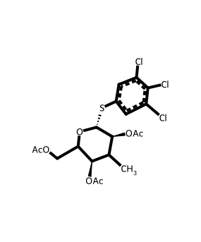 CC(=O)OCC1O[C@H](Sc2cc(Cl)c(Cl)c(Cl)c2)[C@@H](OC(C)=O)C(C)[C@H]1OC(C)=O